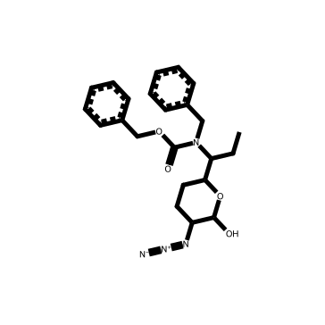 CCC(C1CCC(N=[N+]=[N-])C(O)O1)N(Cc1ccccc1)C(=O)OCc1ccccc1